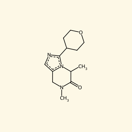 CC1C(=O)N(C)Cc2cnc(C3CCOCC3)n21